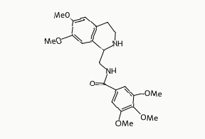 COc1cc2c(cc1OC)C(CNC(=O)c1cc(OC)c(OC)c(OC)c1)NCC2